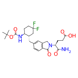 CC(C)(C)OC(=O)N[C@H]1CCC(F)(F)C[C@@H]1Cc1ccc2c(c1)CN([C@@H](CCC(=O)O)C(N)=O)C2=O